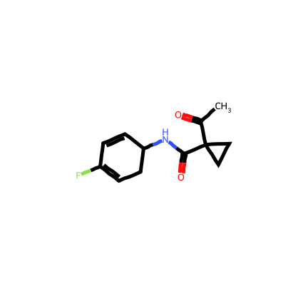 CC(=O)C1(C(=O)NC2C=CC(F)=CC2)CC1